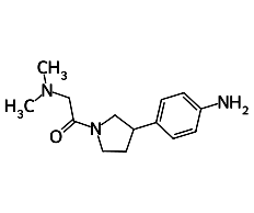 CN(C)CC(=O)N1CCC(c2ccc(N)cc2)C1